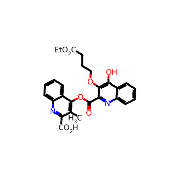 CCOC(=O)CCCOc1c(C(=O)Oc2c(C)c(C(=O)O)nc3ccccc23)nc2ccccc2c1O